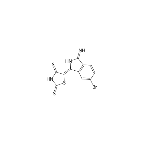 N=C1NC(=C2SC(=S)NC2=S)c2cc(Br)ccc21